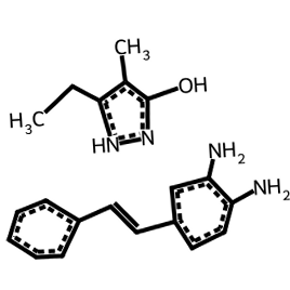 CCc1[nH]nc(O)c1C.Nc1ccc(C=Cc2ccccc2)cc1N